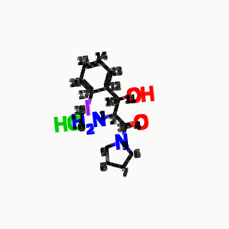 Cl.NC(C(=O)N1CCCC1)C(O)c1ccccc1I